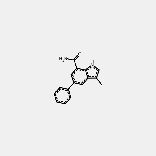 Cc1c[nH]c2c(C(N)=O)cc(-c3ccccc3)cc12